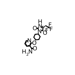 NC(=O)c1cccnc1O[C@H]1CC[C@H](N2C(=O)N[C@@H](CC(F)(F)F)C2=O)CC1